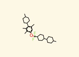 Cc1cc(OC(F)(F)C2CCC(C3CCC(C)CC3)CC2)c(C)c(C)c1C1CCC(C)CC1